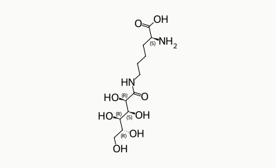 N[C@@H](CCCCNC(=O)[C@H](O)[C@@H](O)[C@H](O)[C@H](O)CO)C(=O)O